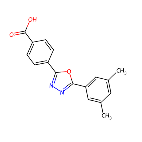 Cc1cc(C)cc(-c2nnc(-c3ccc(C(=O)O)cc3)o2)c1